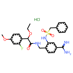 CCOC(C(=O)NCc1ccc(C(=N)N)cc1NS(=O)(=O)Cc1ccccc1)c1ccc(OC)cc1F.Cl